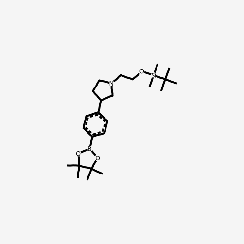 CC1(C)OB(c2ccc(C3CCN(CCO[Si](C)(C)C(C)(C)C)C3)cc2)OC1(C)C